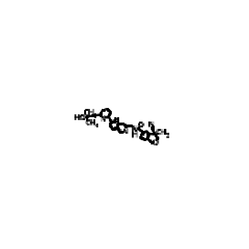 CC(C)(O)C#Cc1cccc(-c2ccc3cnc(CNC(=O)c4ccc5c(c4)[C@](C)(C#N)COC5)cc3n2)n1